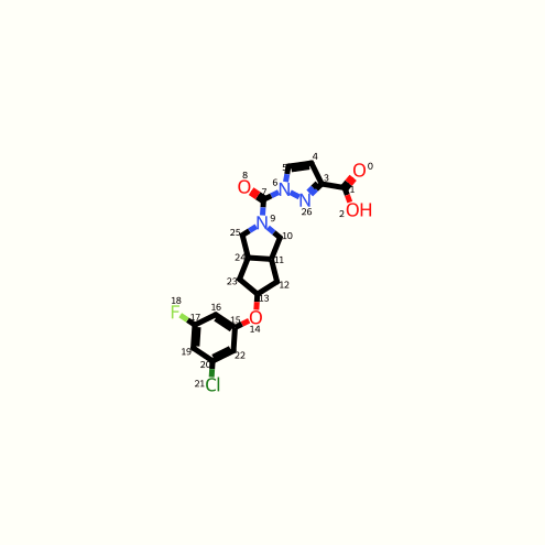 O=C(O)c1ccn(C(=O)N2CC3CC(Oc4cc(F)cc(Cl)c4)CC3C2)n1